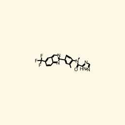 Cc1cc(-c2ncc3cc(C(F)(F)F)ccc3n2)ccc1N(C)C(=O)c1ncn[nH]1